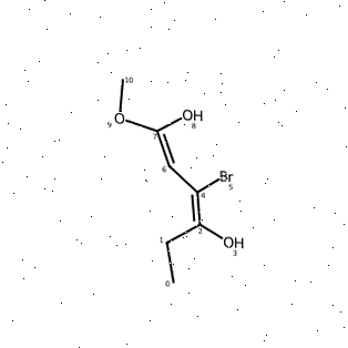 CC/C(O)=C(Br)\C=C(/O)OC